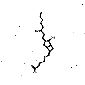 CCCCCC(O)CCC1CC2C(=NOCCCC(=O)O)CC2C1O